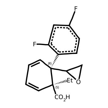 CC[C@]1(C(=O)O)C=CC=C[C@@]1(c1ccc(F)cc1F)C1CO1